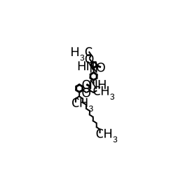 CCCCCCCCCCCCC(CC)c1ccccc1OC(CC)C(=O)Nc1ccc(-n2[nH]c(OCC)cc2=O)cc1